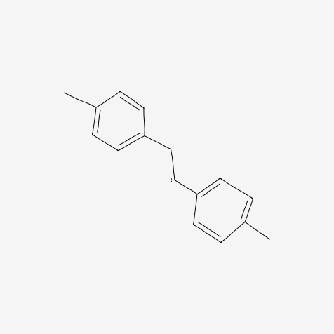 Cc1ccc([C]Cc2ccc(C)cc2)cc1